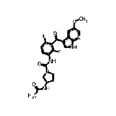 COc1cnc2[nH]cc(C(=O)c3c(F)ccc(NC(=O)N4CCC(NC(C)=O)C4)c3F)c2c1